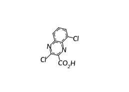 O=C(O)c1nc2c(Cl)cccc2nc1Cl